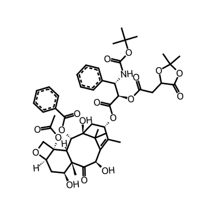 CC(=O)O[C@@]12CO[C@@H]1C[C@H](O)[C@@]1(C)C(=O)[C@H](O)C3=C(C)[C@@H](OC(=O)[C@H](OC(=O)CC4OC(C)(C)OC4=O)[C@@H](NC(=O)OC(C)(C)C)c4ccccc4)C[C@@](O)([C@@H](OC(=O)c4ccccc4)[C@H]21)C3(C)C